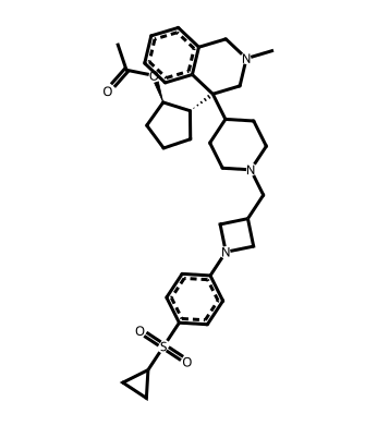 CC(=O)O[C@@H]1CCC[C@H]1C1(C2CCN(CC3CN(c4ccc(S(=O)(=O)C5CC5)cc4)C3)CC2)CN(C)Cc2ccccc21